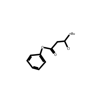 CCCCC(Cl)CC(=O)Oc1ccccc1